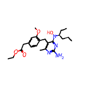 CCCC(CC)N(O)c1nc(N)nc(C)c1Cc1ccc(CC(=O)OCC)cc1OC